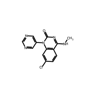 CNc1nc(=O)n(-c2cncnc2)c2cc(Cl)ccc12